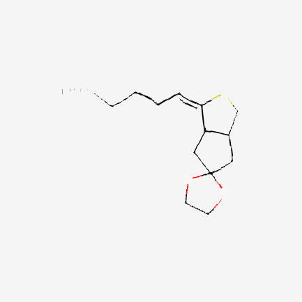 CCOC(=O)CCC/C=C1/SCC2CC3(CC12)OCCO3